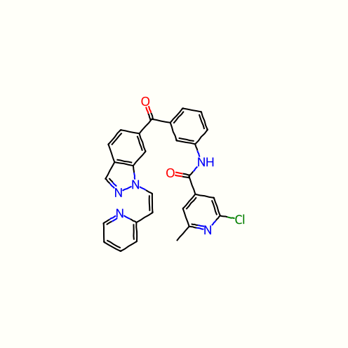 Cc1cc(C(=O)Nc2cccc(C(=O)c3ccc4cnn(C=Cc5ccccn5)c4c3)c2)cc(Cl)n1